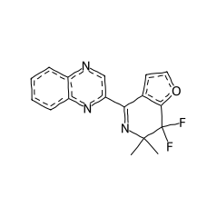 CC1(C)N=C(c2cnc3ccccc3n2)c2ccoc2C1(F)F